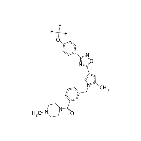 Cc1cc(-c2nc(-c3ccc(OC(F)(F)F)cc3)no2)cn1Cc1cccc(C(=O)N2CCN(C)CC2)c1